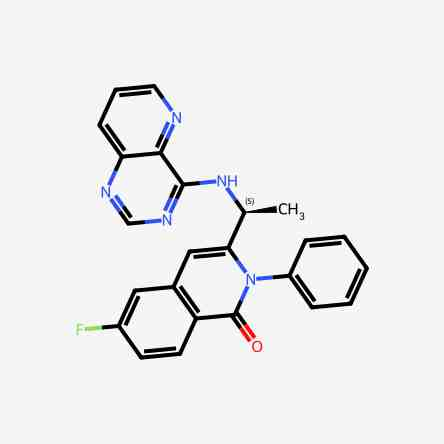 C[C@H](Nc1ncnc2cccnc12)c1cc2cc(F)ccc2c(=O)n1-c1ccccc1